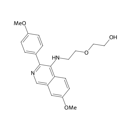 COc1ccc(-c2ncc3cc(OC)ccc3c2NCCOCCO)cc1